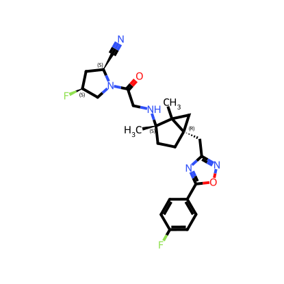 CC12C[C@@]1(Cc1noc(-c3ccc(F)cc3)n1)CC[C@]2(C)NCC(=O)N1C[C@@H](F)C[C@H]1C#N